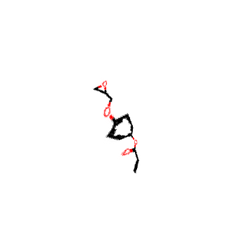 C=CC(=O)Oc1ccc(OCC2CO2)cc1